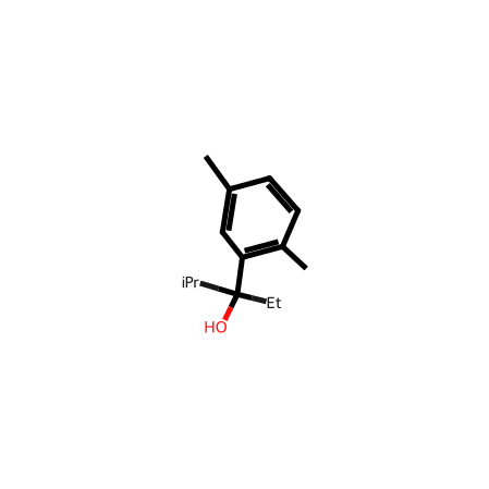 CCC(O)(c1cc(C)ccc1C)C(C)C